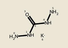 NNC(=O)NN.[K]